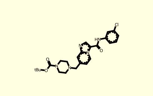 CC(C)(C)OC(=O)N1CCN(Cc2ccn3c(C(=O)Nc4cccc(Cl)c4)cnc3c2)CC1